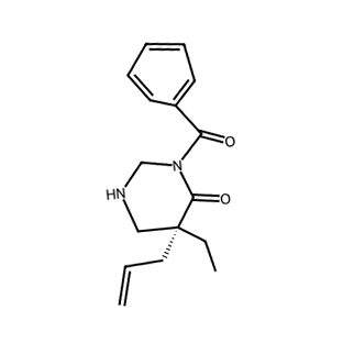 C=CC[C@]1(CC)CNCN(C(=O)c2ccccc2)C1=O